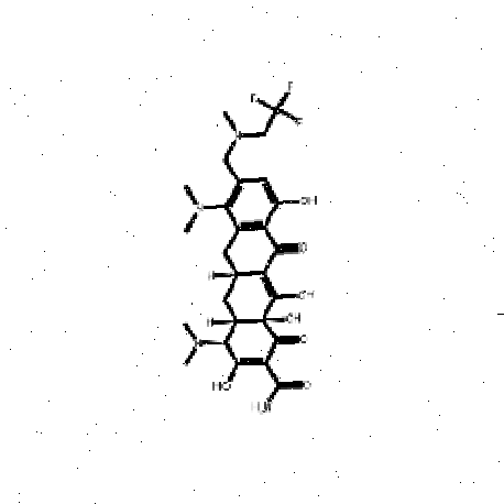 CN(Cc1cc(O)c2c(c1N(C)C)C[C@H]1C[C@H]3[C@H](N(C)C)C(O)=C(C(N)=O)C(=O)[C@@]3(O)C(O)=C1C2=O)CC(F)(F)F